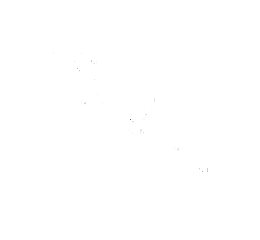 CC(=N)c1ccc(OCCCn2ccn(CCCOc3ccc(C(=N)NC(=O)OC(C)(C)C)cc3Br)/c2=N\C(=O)C(F)(F)F)c(Br)c1